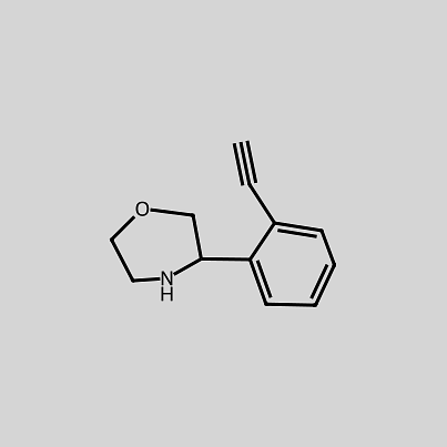 C#Cc1ccccc1C1COCCN1